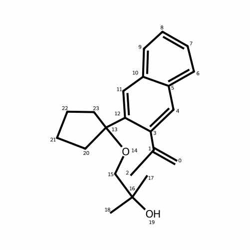 C=C(C)c1cc2ccccc2cc1C1(OCC(C)(C)O)CCCC1